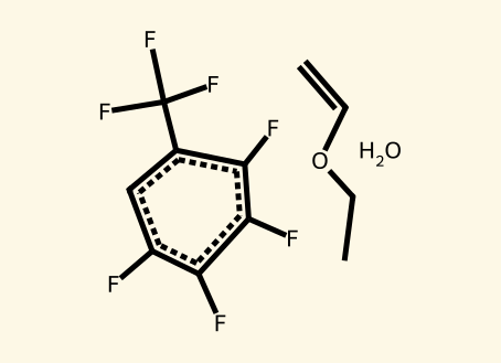 C=COCC.Fc1cc(C(F)(F)F)c(F)c(F)c1F.O